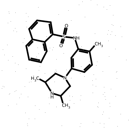 Cc1ccc(N2CC(C)NC(C)C2)cc1NS(=O)(=O)c1cccc2ccccc12